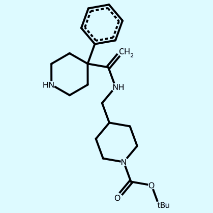 C=C(NCC1CCN(C(=O)OC(C)(C)C)CC1)C1(c2ccccc2)CCNCC1